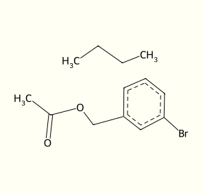 CC(=O)OCc1cccc(Br)c1.CCCC